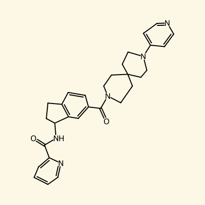 O=C(NC1CCc2ccc(C(=O)N3CCC4(CC3)CCN(c3ccncc3)CC4)cc21)c1ccccn1